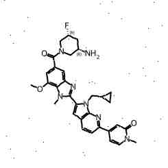 COc1cc(C(=O)N2C[C@H](N)C[C@@H](F)C2)cc2nc(-c3cc4ccc(-c5ccn(C)c(=O)c5)nc4n3CC3CC3)n(C)c12